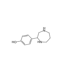 Oc1ccc(C2CNCCCN2)cc1